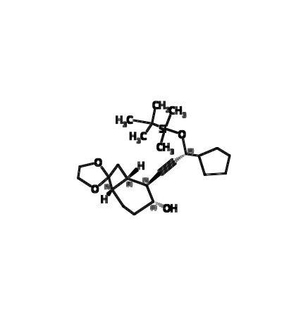 CC(C)(C)[Si](C)(C)O[C@@H](C#C[C@@H]1[C@H]2CC3(OCCO3)[C@H]2CC[C@H]1O)C1CCCC1